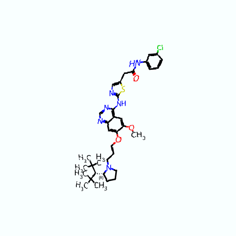 COc1cc2c(Nc3ncc(CC(=O)Nc4cccc(Cl)c4)s3)ncnc2cc1OCCCN1CCC[C@@H]1C(C(C)(C)C)C(C)(C)C